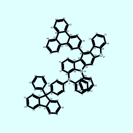 c1ccc(N(c2ccc(C3(c4ccccc4)c4ccccc4-c4ccccc43)cc2)c2cccc3c4c(-c5ccc6c7ccccc7c7ccccc7c6c5)c5c(cc4n(-c4ccccc4)c23)oc2ccccc25)cc1